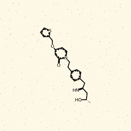 C[C@H](O)CC(=N)Cc1ccc(CCn2ccc(OCc3cccs3)cc2=O)cc1